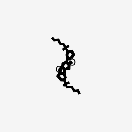 CCCCCC(C)(C)c1ccc2oc3cc4c(cc3c2c1)oc1ccc(C(C)(C)CCCCC)cc14